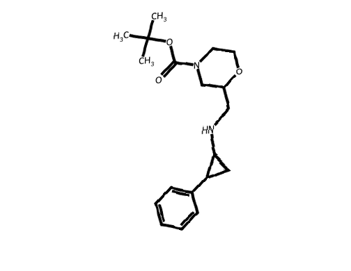 CC(C)(C)OC(=O)N1CCOC(CNC2CC2c2ccccc2)C1